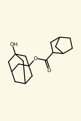 O=C(OC12CC3CC(CC(O)(C3)C1)C2)C1CC2CCC1C2